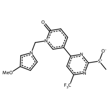 COc1ccn(Cn2cc(-c3cc(C(F)(F)F)nc([S+](C)[O-])n3)ccc2=O)c1